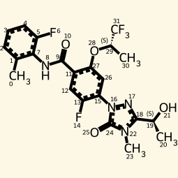 Cc1cccc(F)c1NC(=O)c1cc(F)c(-n2nc([C@H](C)O)n(C)c2=O)cc1O[C@@H](C)C(F)(F)F